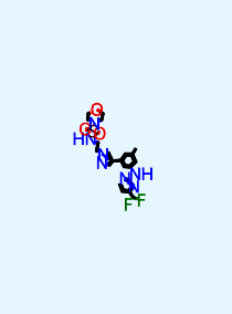 Cc1cc(Nc2nccc(C(F)F)n2)cc(-c2cnn(CCNS(=O)(=O)N3CCOCC3)c2)c1